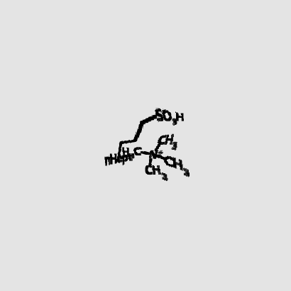 CCCCCCCCCCS(=O)(=O)O.C[N+](C)(C)C